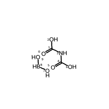 O=C(O)NC(=O)O.OBO